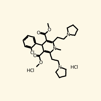 COC(=O)C1=C(CCN2CCCC2)N(C)C(CCN2CCCC2)=C(C(=O)OC)C1c1ccccc1Cl.Cl.Cl